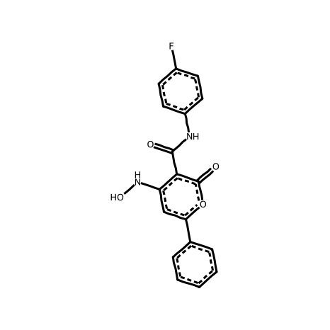 O=C(Nc1ccc(F)cc1)c1c(NO)cc(-c2ccccc2)oc1=O